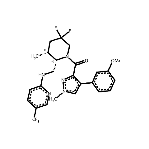 COc1cccc(-c2cn(C)nc2C(=O)N2CC(F)(F)C[C@@H](C)[C@H]2CNc2ccc(C(F)(F)F)cn2)c1